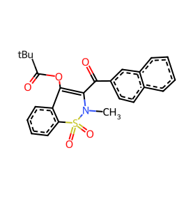 CN1C(C(=O)c2ccc3ccccc3c2)=C(OC(=O)C(C)(C)C)c2ccccc2S1(=O)=O